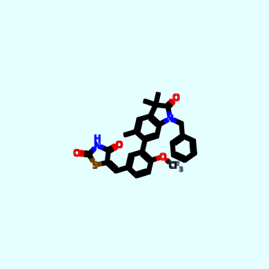 Cc1cc2c(cc1-c1cc(C=C3SC(=O)NC3=O)ccc1OC(F)(F)F)N(Cc1ccccc1)C(=O)C2(C)C